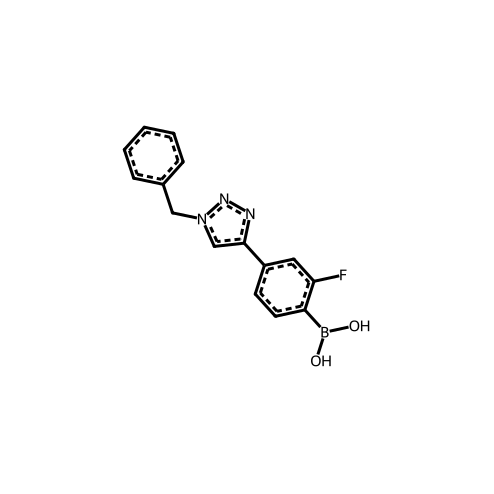 OB(O)c1ccc(-c2cn(Cc3ccccc3)nn2)cc1F